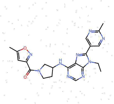 CCn1c(-c2cnc(C)nc2)nc2c(NC3CCN(C(=O)c4cc(C)on4)C3)ncnc21